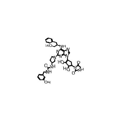 O=C(NCc1cccc(O)c1)NC1CCN(c2nc(NC(CO)Cc3ccccc3)c3ncn(C4CC(N5C(=O)CNC5=O)C(O)C4O)c3n2)C1